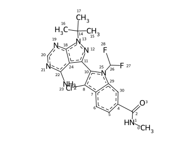 CNC(=O)c1ccc2c(Cl)c(-c3nn(C(C)(C)C)c4ncnc(N)c34)n(C(F)F)c2c1